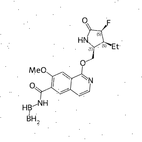 BBNC(=O)c1cc2ccnc(OC[C@H]3NC(=O)[C@@H](F)[C@H]3CC)c2cc1OC